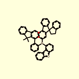 CC1(C)c2ccccc2-c2cccc(-c3ccccc3N(c3ccc4c(c3)C3(CCc5ccccc53)c3ccccc3-4)c3cccc4oc5ccccc5c34)c21